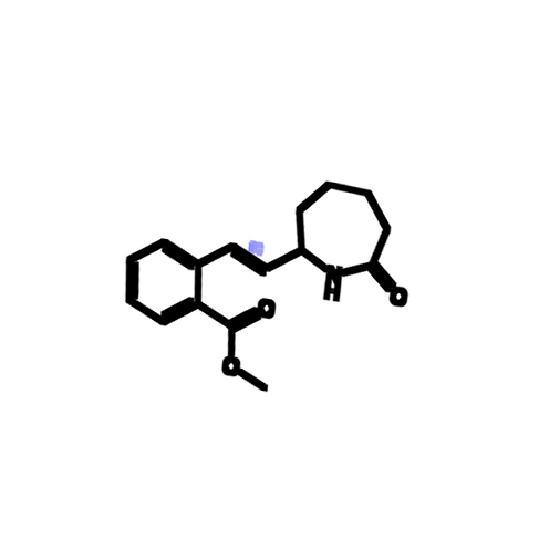 COC(=O)c1ccccc1/C=C/C1CCCCC(=O)N1